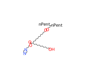 CCCCCC(CCCCC)CCOOCCCCCCCCCCC(CCCCCCCCCCO)C(=O)OCCCN1CCN(C)CC1